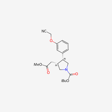 COC(=O)C[C@H]1CN(C(=O)OCC(C)C)C[C@H]1c1cccc(OCC#N)c1